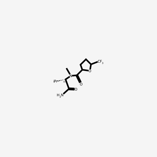 CC(C)[C@@H](C(N)=O)N(C)C(=O)C1CCC(C(F)(F)F)O1